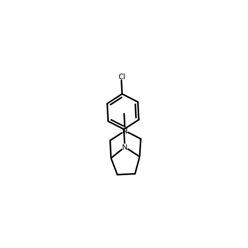 CN1CC2CCC(C1)N2c1ccc(Cl)cc1